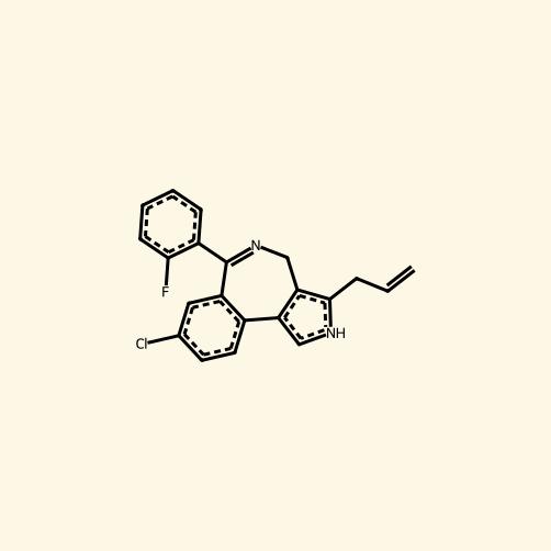 C=CCc1[nH]cc2c1CN=C(c1ccccc1F)c1cc(Cl)ccc1-2